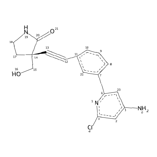 Nc1cc(Cl)nc(-c2cccc(C#C[C@@]3(CO)CCNC3=O)c2)c1